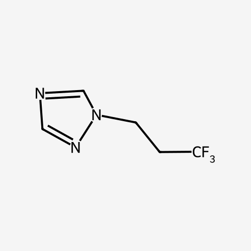 FC(F)(F)CCn1cncn1